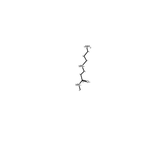 CNC(=O)CCNCCCN